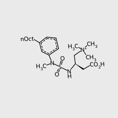 CCCCCCCCc1cccc(N(C)S(=O)(=O)N[C@H](CC(=O)O)C[N+](C)(C)C)c1